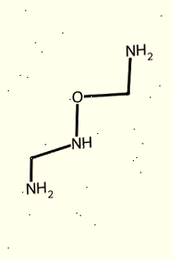 NCNOCN